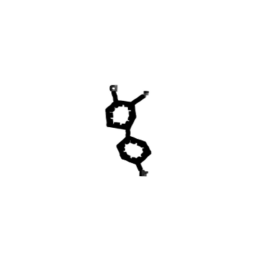 Fc1cc(-c2ccc(Br)cc2)ccc1Cl